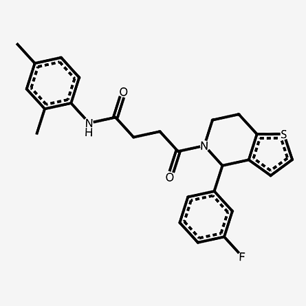 Cc1ccc(NC(=O)CCC(=O)N2CCc3sccc3C2c2cccc(F)c2)c(C)c1